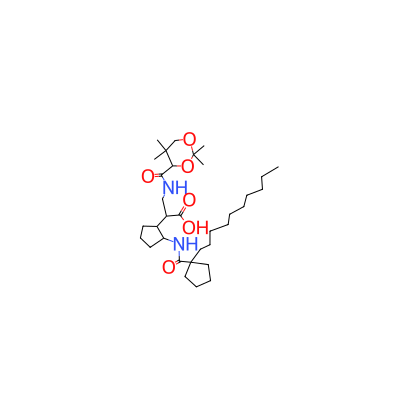 CCCCCCCCCCC1(C(=O)NC2CCCC2C(CNC(=O)C2OC(C)(C)OCC2(C)C)C(=O)O)CCCC1